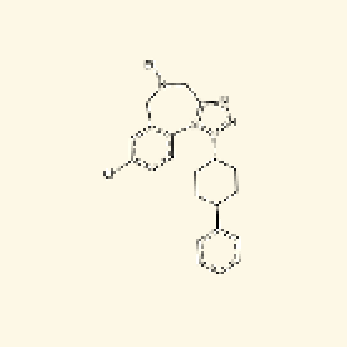 CCN1Cc2cc(Cl)ccc2-n2c(nnc2[C@H]2CC[C@H](c3ccccc3)CC2)C1